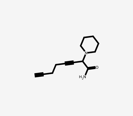 C#CCCC#CC(C(N)=O)N1CCCCC1